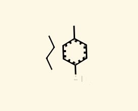 CCCC.Cc1cc[c]([AlH2])cc1